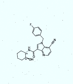 N#Cc1ccnc2c(C(=O)N[C@H]3CCCC[C@@H]3O)cn(Cc3ccc(F)cc3)c12